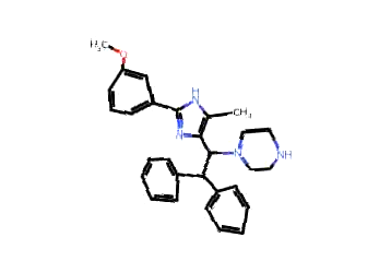 COc1cccc(-c2nc(C(C(c3ccccc3)c3ccccc3)N3CCNCC3)c(C)[nH]2)c1